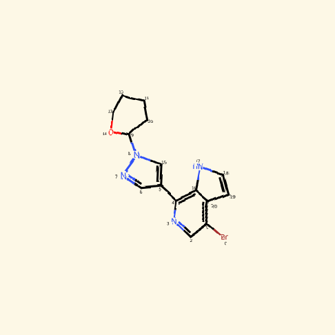 Brc1cnc(-c2cnn(C3CCCCO3)c2)c2[nH]ccc12